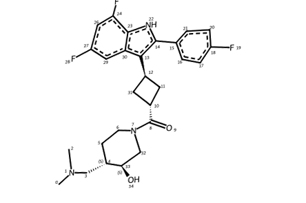 CN(C)C[C@@H]1CCN(C(=O)[C@H]2C[C@H](c3c(-c4ccc(F)cc4)[nH]c4c(F)cc(F)cc43)C2)C[C@H]1O